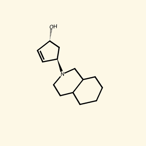 O[C@H]1C=C[C@H](N2CCC3CCCCC3C2)C1